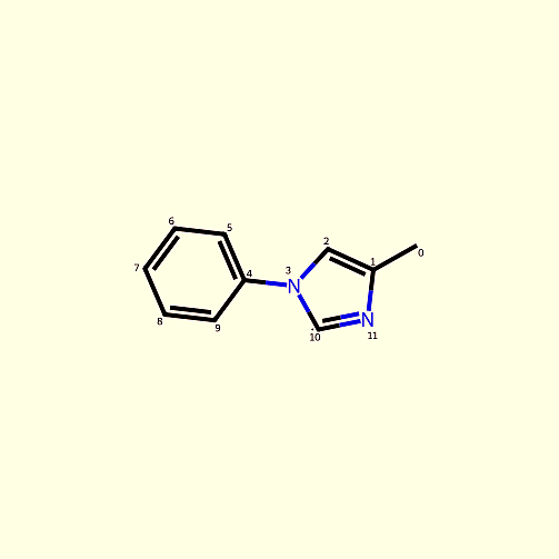 Cc1cn(-c2ccccc2)[c]n1